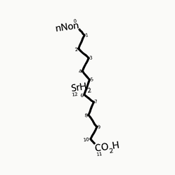 CCCCCCCCCCCCCCCCCCCC(=O)O.[SrH2]